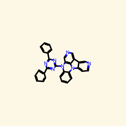 c1ccc(-c2nc(-c3ccccc3)nc(N3c4ccccc4-n4c5ccncc5c5cncc3c54)n2)cc1